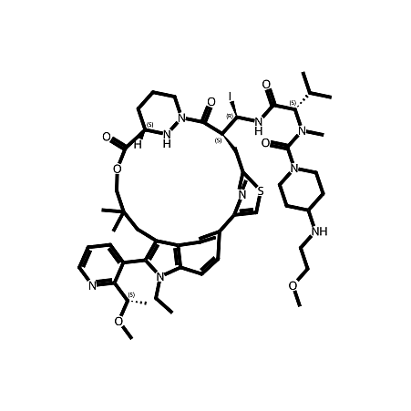 CCn1c(-c2cccnc2[C@H](C)OC)c2c3cc(ccc31)-c1csc(n1)C[C@H]([C@@H](I)NC(=O)[C@H](C(C)C)N(C)C(=O)N1CCC(NCCOC)CC1)C(=O)N1CCC[C@H](N1)C(=O)OCC(C)(C)C2